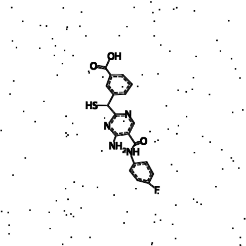 Nc1nc(C(S)c2cccc(C(=O)O)c2)ncc1C(=O)Nc1ccc(F)cc1